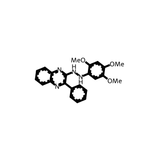 COc1cc(OC)c(OC)cc1NNc1nc2ccccc2nc1-c1ccccc1